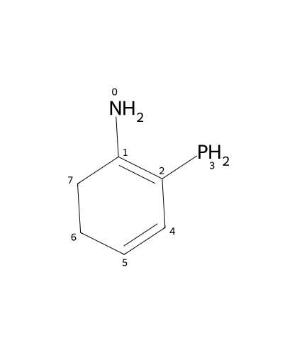 NC1=C(P)C=CCC1